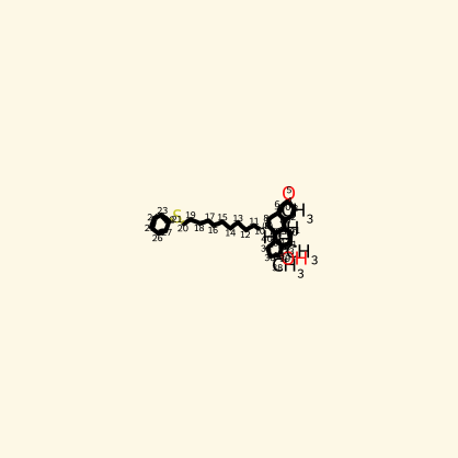 C[C@]12CCC(=O)C=C1C[C@@H](CCCCCCCCCCCSc1ccccc1)[C@@H]1[C@@H]2CC[C@@]2(C)[C@H]1CC[C@]2(C)O